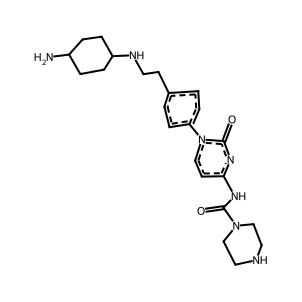 NC1CCC(NCCc2ccc(-n3ccc(NC(=O)N4CCNCC4)nc3=O)cc2)CC1